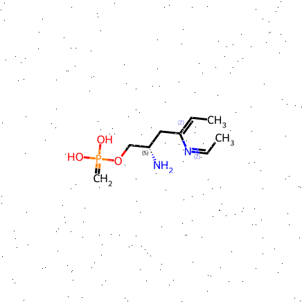 C=P(O)(O)OC[C@@H](N)CC(=C/C)/N=C\C